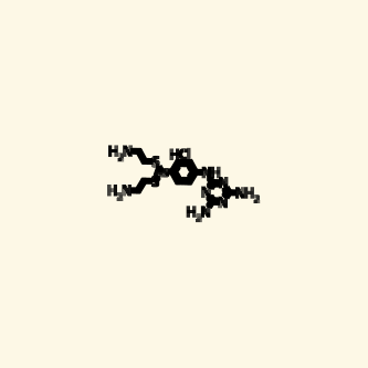 Cl.NCCS[As](SCCN)c1ccc(Nc2nc(N)nc(N)n2)cc1